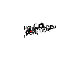 COc1c(C[C@H](Cl)B2O[C@@H]3C[C@@H]4C[C@@H](C4(C)C)[C@]3(C)O2)cccc1C(=O)OC(C)(C)C